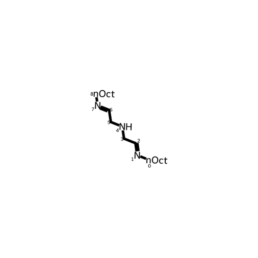 CCCCCCCCN=CCNCC=NCCCCCCCC